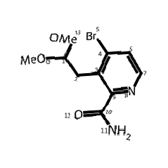 COC(Cc1c(Br)ccnc1C(N)=O)OC